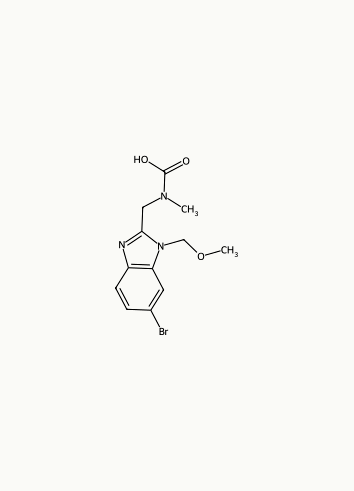 COCn1c(CN(C)C(=O)O)nc2ccc(Br)cc21